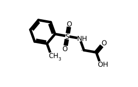 Cc1ccccc1S(=O)(=O)N[CH]C(=O)O